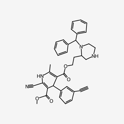 C#Cc1cccc(C2C(C(=O)OCCC3CNCCN3C(c3ccccc3)c3ccccc3)=C(C)NC(C#N)=C2C(=O)OC)c1